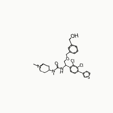 CN1CCC(N(C)C(=O)NC(COCc2cccc(CO)c2)c2ccc(-c3ccsc3)c(Cl)c2Cl)CC1